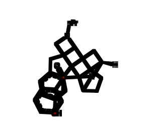 CCCN1CC23Cc4ccc(O)cc4C24C2C5CCC26[C@@H](CN5C(=O)c2ccccc2)CC64C13